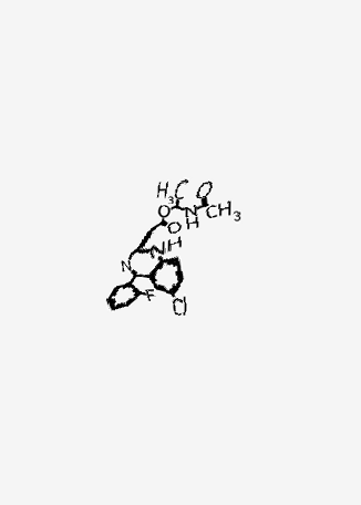 CC(=O)NC(C)OC(=O)C=C1CN=C(c2ccccc2F)c2cc(Cl)ccc2N1